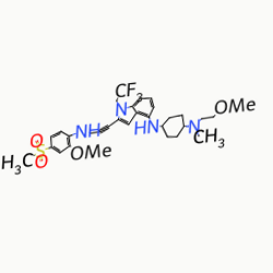 COCCN(C)[C@H]1CC[C@H](Nc2cccc3c2cc(C#CCNc2ccc(S(C)(=O)=O)cc2OC)n3CC(F)(F)F)CC1